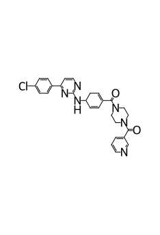 O=C(C1=CCC(Nc2nccc(-c3ccc(Cl)cc3)n2)C=C1)N1CCN(C(=O)c2cccnc2)CC1